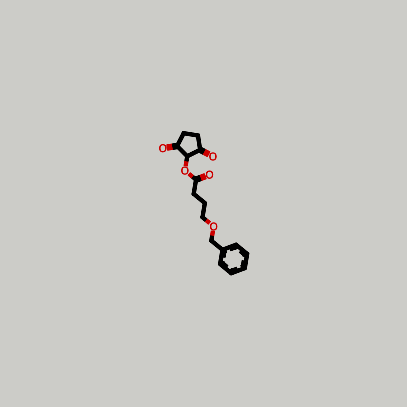 O=C(CCCOCc1ccccc1)OC1C(=O)CCC1=O